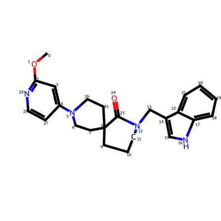 COc1cc(N2CCC3(CCCN(Cc4c[nH]c5ccccc45)C3=O)CC2)ccn1